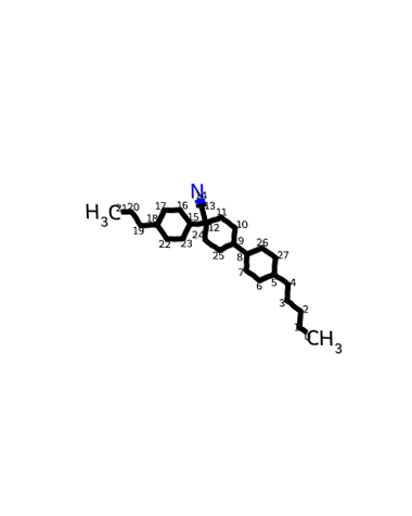 CCCCCC1CCC(C2CCC(C#N)(C3CCC(CCC)CC3)CC2)CC1